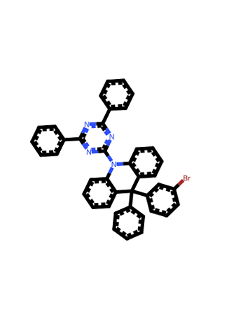 Brc1cccc(C2(c3ccccc3)c3ccccc3N(c3nc(-c4ccccc4)nc(-c4ccccc4)n3)c3ccccc32)c1